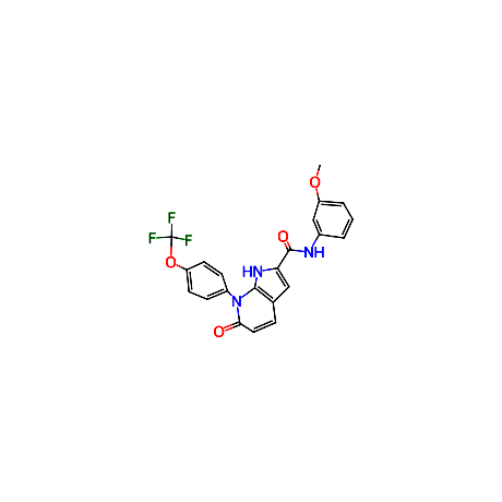 COc1cccc(NC(=O)c2cc3ccc(=O)n(-c4ccc(OC(F)(F)F)cc4)c3[nH]2)c1